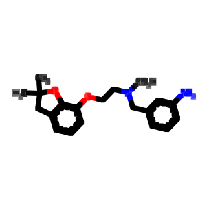 CC1(C)Cc2cccc(OCCN(Cc3cccc(N)c3)C(=O)O)c2O1